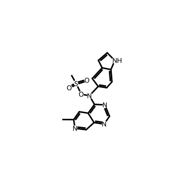 Cc1cc2c(N(OS(C)(=O)=O)c3ccc4[nH]ccc4c3)ncnc2cn1